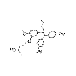 CCCCC(=C(c1ccc(O)cc1)c1ccc(O)cc1)c1ccc(OC)c(OCCCC(=O)O)c1